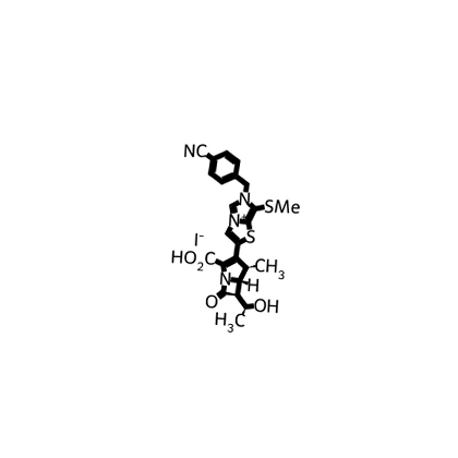 CSc1c2sc(C3=C(C(=O)O)N4C(=O)[C@H]([C@@H](C)O)[C@H]4[C@H]3C)c[n+]2cn1Cc1ccc(C#N)cc1.[I-]